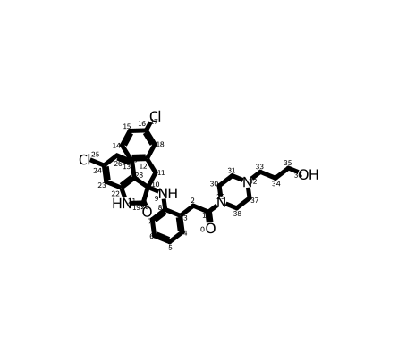 O=C(Cc1ccccc1NC1(Cc2cccc(Cl)c2)C(=O)Nc2cc(Cl)ccc21)N1CCN(CCCO)CC1